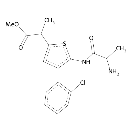 COC(=O)C(C)c1cc(-c2ccccc2Cl)c(NC(=O)C(C)N)s1